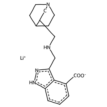 O=C([O-])c1cccc2[nH]nc(CNCC3CN4CCC3CC4)c12.[Li+]